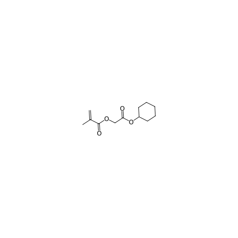 C=C(C)C(=O)OCC(=O)OC1CCCCC1